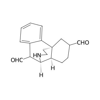 O=CC1CC[C@H]2[C@@H]3NCC[C@@]2(C1)c1ccccc1C3C=O